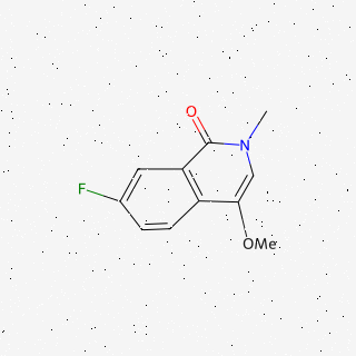 COc1cn(C)c(=O)c2cc(F)ccc12